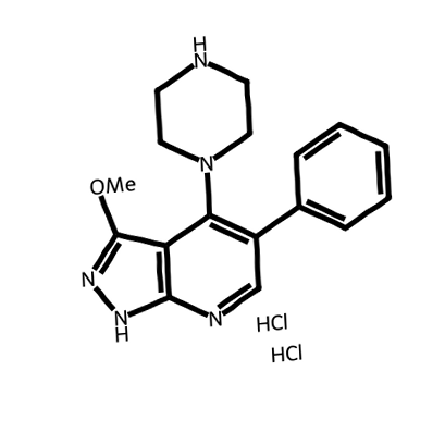 COc1n[nH]c2ncc(-c3ccccc3)c(N3CCNCC3)c12.Cl.Cl